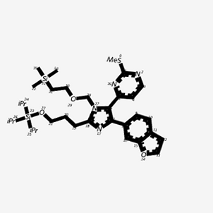 CSc1nccc(-c2c(-c3ccc4ccoc4c3)nc(CCCO[Si](C(C)C)(C(C)C)C(C)C)n2COCC[Si](C)(C)C)n1